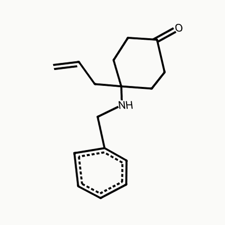 C=CCC1(NCc2ccccc2)CCC(=O)CC1